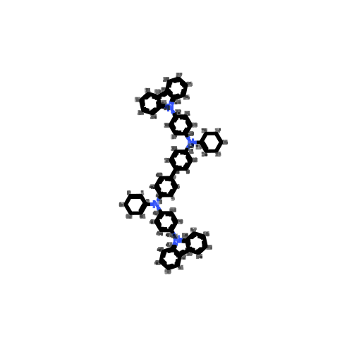 C1=CC(N(c2ccc(-c3ccc(N(C4=CCCCC4)c4ccc(-n5c6ccccc6c6ccccc65)cc4)cc3)cc2)c2ccc(-n3c4ccccc4c4ccccc43)cc2)=CCC1